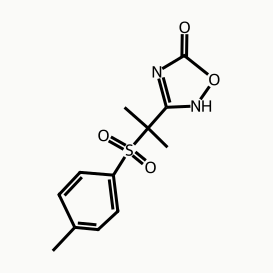 Cc1ccc(S(=O)(=O)C(C)(C)c2nc(=O)o[nH]2)cc1